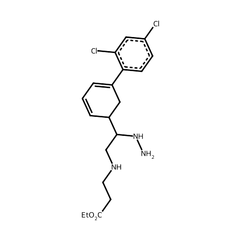 CCOC(=O)CCNCC(NN)C1C=CC=C(c2ccc(Cl)cc2Cl)C1